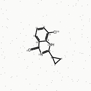 O=c1nc(C2CC2)[nH]c2c(Cl)cccc12